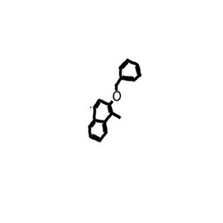 Cc1c(OCc2ccccc2)c[c]c2ccccc12